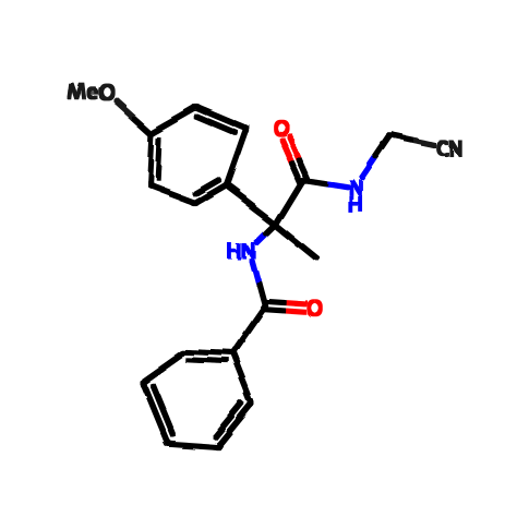 COc1ccc(C(C)(NC(=O)c2ccccc2)C(=O)NCC#N)cc1